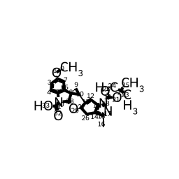 COc1ccc2c(c1)[C@]1(C[C@H]1C1=Cc3c(c(I)nn3C(=O)OC(C)(C)C)CC1)C(=O)N2C(=O)O